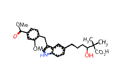 COC(=O)c1ccc(Cc2c[nH]c3ccc(CCCC(O)C(C)(C)C(=O)O)cc23)c(OC)c1